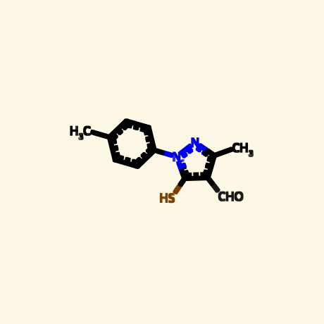 Cc1ccc(-n2nc(C)c(C=O)c2S)cc1